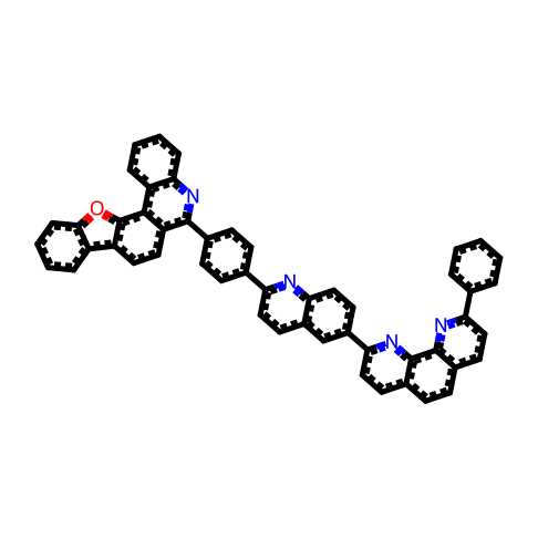 c1ccc(-c2ccc3ccc4ccc(-c5ccc6nc(-c7ccc(-c8nc9ccccc9c9c8ccc8c%10ccccc%10oc89)cc7)ccc6c5)nc4c3n2)cc1